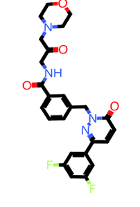 O=C(CNC(=O)c1cccc(Cn2nc(-c3cc(F)cc(F)c3)ccc2=O)c1)CN1CCOCC1